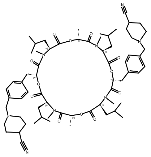 CC(C)C[C@H]1C(=O)O[C@H](Cc2ccc(CN3CCC(C#N)CC3)cc2)C(=O)N(C)[C@@H](CC(C)C)C(=O)O[C@H](C)C(=O)N(C)[C@@H](CC(C)C)C(=O)O[C@H](Cc2ccc(CN3CCC(C#N)CC3)cc2)C(=O)N(C)[C@@H](CC(C)C)C(=O)O[C@H](C)C(=O)N1C